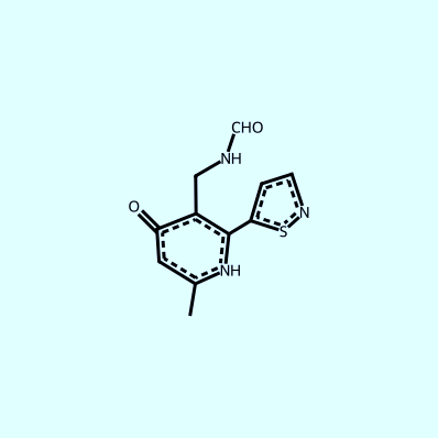 Cc1cc(=O)c(CNC=O)c(-c2ccns2)[nH]1